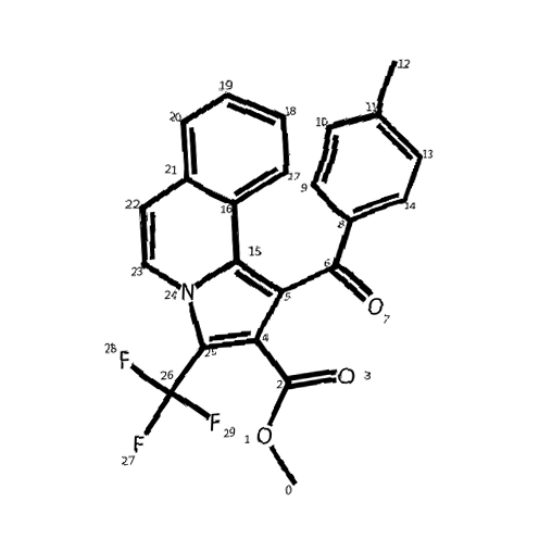 COC(=O)c1c(C(=O)c2ccc(C)cc2)c2c3ccccc3ccn2c1C(F)(F)F